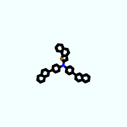 c1ccc2cc(-c3ccc(N(c4ccc(-c5ccc6ccccc6c5)cc4)c4cc5ccc6ccccc6c5s4)cc3)ccc2c1